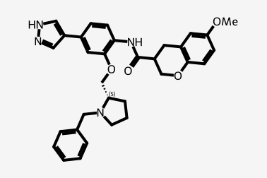 COc1ccc2c(c1)CC(C(=O)Nc1ccc(-c3cn[nH]c3)cc1OC[C@@H]1CCCN1Cc1ccccc1)CO2